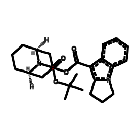 CC(C)(C)OC(=O)N1[C@@H]2CCC[C@H]1CC(OC(=O)c1c3n(c4ccccc14)CCC3)C2